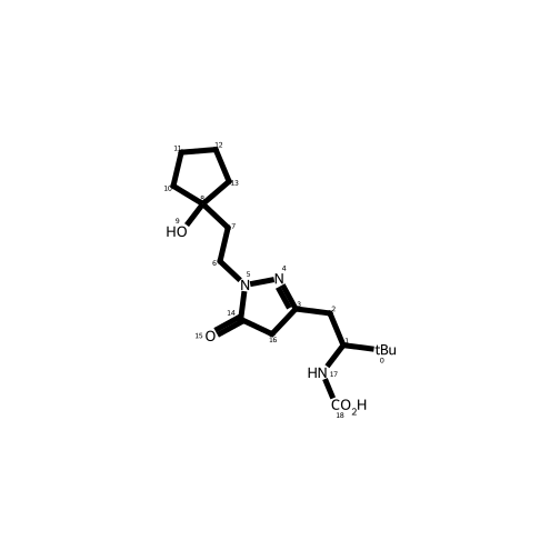 CC(C)(C)C(CC1=NN(CCC2(O)CCCC2)C(=O)C1)NC(=O)O